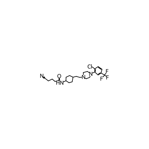 N#CCCCC(=O)NC1CCC(CCN2CCN(c3cc(C(F)(F)F)ccc3Cl)CC2)CC1